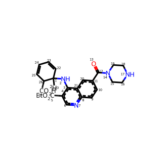 [2H]C1(Nc2c(C(=O)OCC)cnc3ccc(C(=O)N4CCNCC4)cc23)C=CC=CC1C(=O)O